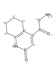 NOC(=O)c1cc(=O)[nH]c2c1CCCC2